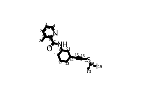 Cc1cccnc1C(=O)NC1CCCC(C#CSP(I)I)C1